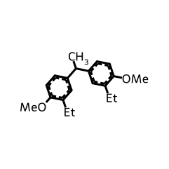 CCc1cc(C(C)c2ccc(OC)c(CC)c2)ccc1OC